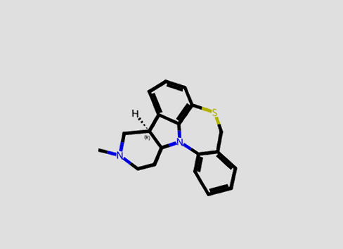 CN1CCC2[C@@H](C1)c1cccc3c1N2c1ccccc1CS3